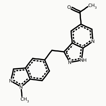 CC(=O)c1cnc2[nH]nc(Cc3ccc4c(cnn4C)c3)c2c1